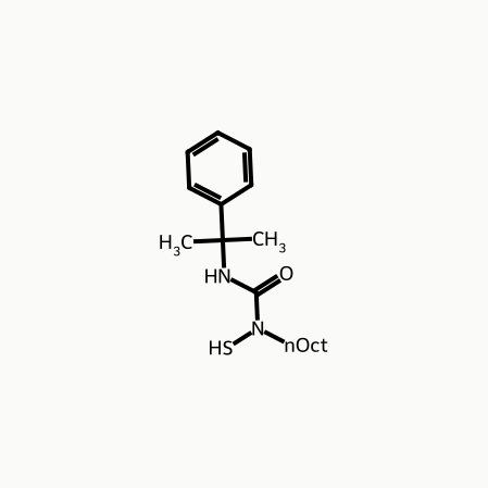 CCCCCCCCN(S)C(=O)NC(C)(C)c1ccccc1